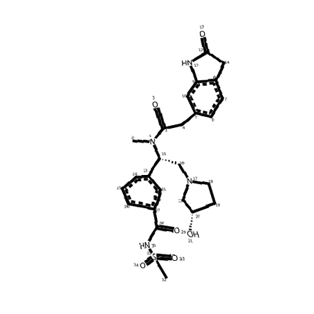 CN(C(=O)Cc1ccc2c(c1)NC(=O)C2)[C@H](CN1CC[C@H](O)C1)c1cccc(C(=O)NS(C)(=O)=O)c1